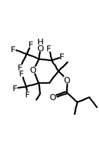 CCC(C)C(=O)OC1(C)CC(CC)(C(F)(F)F)OC(O)(C(F)(F)F)C1(F)F